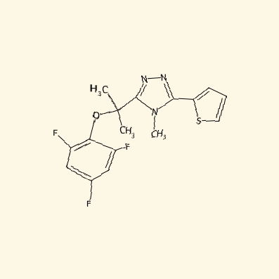 Cn1c(-c2cccs2)nnc1C(C)(C)Oc1c(F)cc(F)cc1F